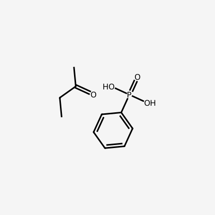 CCC(C)=O.O=P(O)(O)c1ccccc1